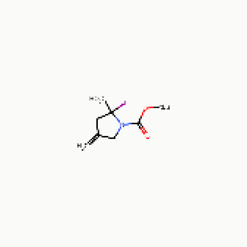 C=C1CN(C(=O)OC(C)(C)C)C(I)(C(=O)O)C1